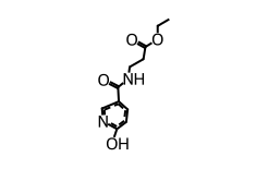 CCOC(=O)CCNC(=O)c1ccc(O)nc1